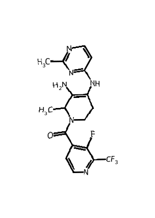 Cc1nccc(NC2=C(N)C(C)N(C(=O)c3ccnc(C(F)(F)F)c3F)CC2)n1